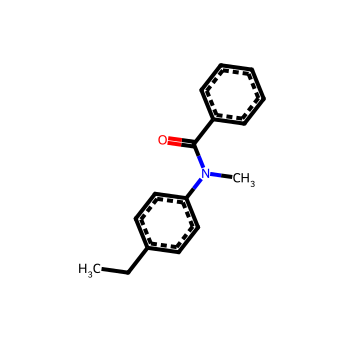 CCc1ccc(N(C)C(=O)c2ccccc2)cc1